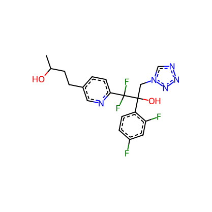 CC(O)CCc1ccc(C(F)(F)C(O)(Cn2cnnn2)c2ccc(F)cc2F)nc1